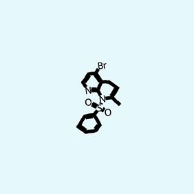 CC1=CCc2c(Br)ccnc2N1S(=O)(=O)c1ccccc1